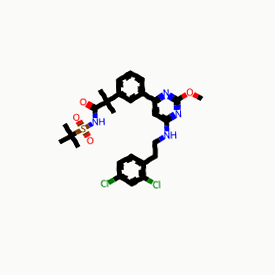 COc1nc(NCCc2ccc(Cl)cc2Cl)cc(-c2cccc(C(C)(C)C(=O)NS(=O)(=O)C(C)(C)C)c2)n1